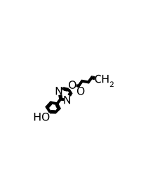 C=CCCC(=O)Oc1cnc(-c2ccc(O)cc2)nc1